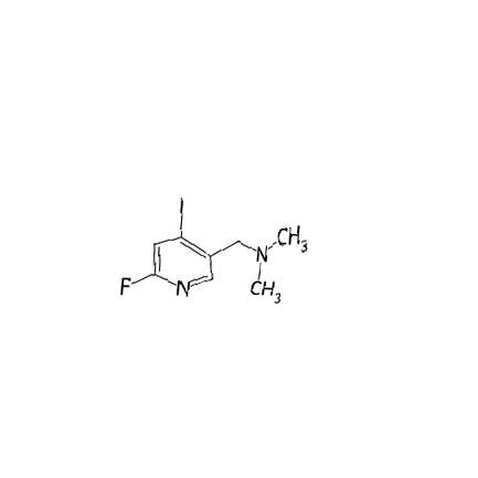 CN(C)Cc1cnc(F)cc1I